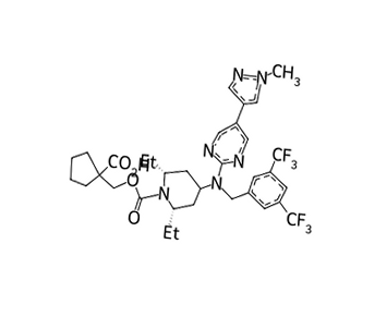 CC[C@@H]1CC(N(Cc2cc(C(F)(F)F)cc(C(F)(F)F)c2)c2ncc(-c3cnn(C)c3)cn2)C[C@H](CC)N1C(=O)OCC1(C(=O)O)CCCC1